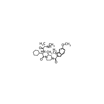 CN[C@@H](C)C(=O)NC(C(=O)N1CCN(C(=O)c2cc3ccc(OC)cc3n2C)C[C@@H]1C)C1CCCCC1